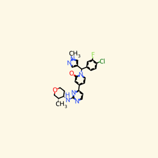 C[C@@H]1COCC[C@@H]1Nc1nccc(-c2ccn(C(c3ccc(Cl)c(F)c3)c3cnn(C)c3)c(=O)c2)n1